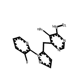 CCCc1c(Cc2ccnn2-c2ncccc2F)ncnc1NCC